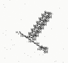 NCCNCCNCCNCCNCCN.O=P(O)(O)CP(=O)(O)O.O=P(O)(O)CP(=O)(O)O.O=P(O)(O)CP(=O)(O)O.O=P(O)(O)CP(=O)(O)O.O=P(O)(O)CP(=O)(O)O.O=P(O)(O)CP(=O)(O)O.O=P(O)(O)CP(=O)(O)O.O=P(O)(O)CP(=O)(O)O